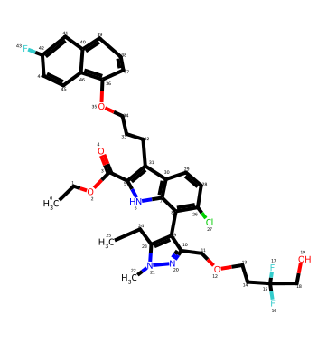 CCOC(=O)c1[nH]c2c(-c3c(COCCC(F)(F)CO)nn(C)c3CC)c(Cl)ccc2c1CCCOc1cccc2cc(F)ccc12